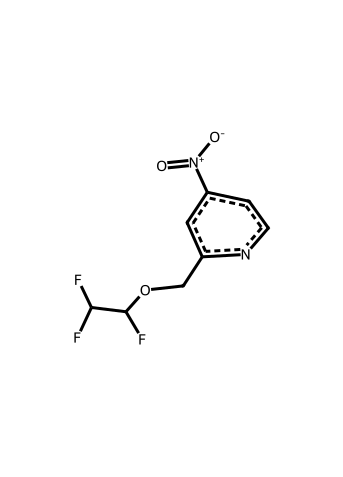 O=[N+]([O-])c1ccnc(COC(F)C(F)F)c1